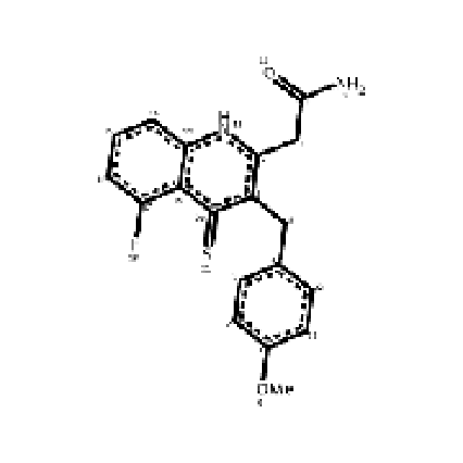 COc1ccc(Cc2c(CC(N)=O)[nH]c3cccc(F)c3c2=S)cc1